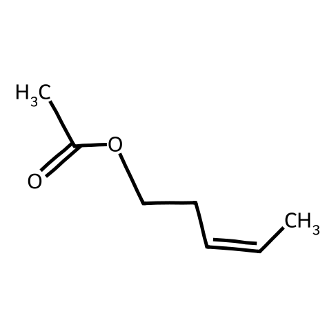 C/C=C\CCOC(C)=O